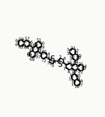 C1=C(C2=CCC(c3ccc4c(-c5ccc6ccccc6c5)c5ccccc5c(-c5ccc6ccccc6c5)c4c3)S2)SC(c2ccc(-c3c4ccccc4c(-c4ccc5ccccc5c4)c4ccccc34)cc2)C1